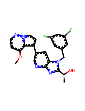 COc1ccnn2ccc(-c3cnc4nc([C@H](C)O)n(Cc5cc(F)cc(F)c5)c4c3)c12